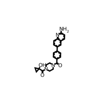 Nc1ccc2cc(-c3ccc(C(=O)N4CCN(C(=O)C5(O)CC5)CC4)cc3)ccc2n1